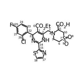 CCOC(=O)C1=C(CN2CCS(=O)(=O)CC2C(=O)O)NC(c2nccs2)=NC1c1ccc(F)cc1Cl